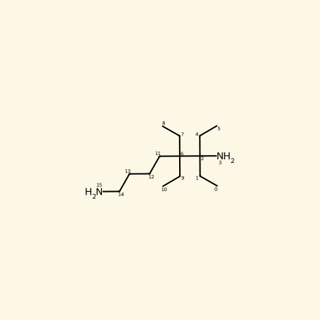 CCC(N)(CC)C(CC)(CC)CCCCN